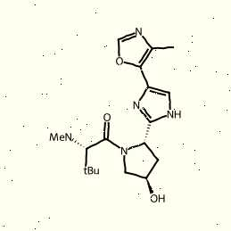 CN[C@H](C(=O)N1C[C@H](O)C[C@H]1c1nc(-c2ocnc2C)c[nH]1)C(C)(C)C